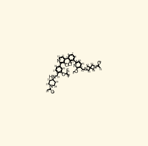 COc1nc(-c2cccc(-c3ccnc(-c4ccc(CNC5CCN(C(C)=O)CC5)c(OC(F)F)c4)c3Cl)c2Cl)ccc1CN1CC2(C1)CN(C(C)=O)C2